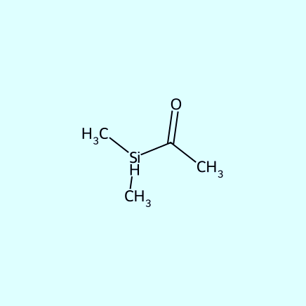 CC(=O)[SiH](C)C